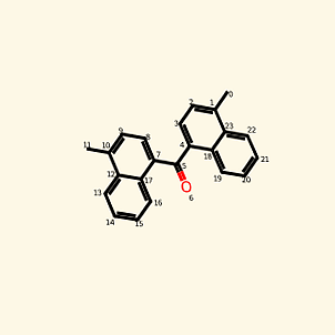 Cc1ccc(C(=O)c2ccc(C)c3ccccc23)c2ccccc12